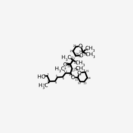 CC(CO)CCC[C@H](C)C(OC1CCCCO1)[C@@H](C)C(=O)C(C)(C)[C@@H]1CCOC(C)(C)O1